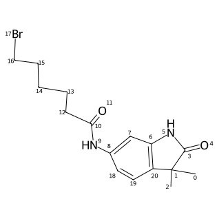 CC1(C)C(=O)Nc2cc(NC(=O)CCCCCBr)ccc21